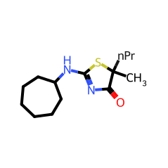 CCCC1(C)SC(NC2CCCCCC2)=NC1=O